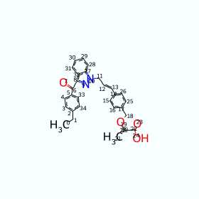 CCc1ccc(C(=O)c2nn(CC=Cc3ccc(CO[C@H](C)C(=O)O)cc3)c3ccccc23)cc1